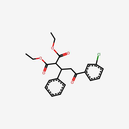 CCOC(=O)C(C(=O)OCC)C(CC(=O)c1cccc(Cl)c1)c1ccccc1